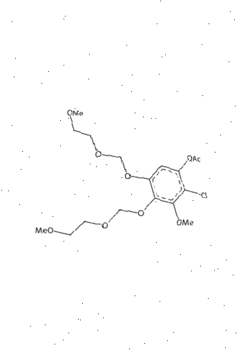 COCCOCOc1cc(OC(C)=O)c(Cl)c(OC)c1OCOCCOC